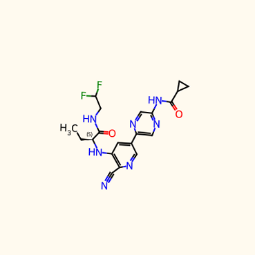 CC[C@H](Nc1cc(-c2cnc(NC(=O)C3CC3)cn2)cnc1C#N)C(=O)NCC(F)F